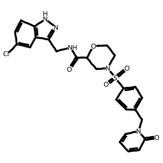 O=C(NCc1n[nH]c2ccc(Cl)cc12)C1CN(S(=O)(=O)c2ccc(Cn3ccccc3=O)cc2)CCO1